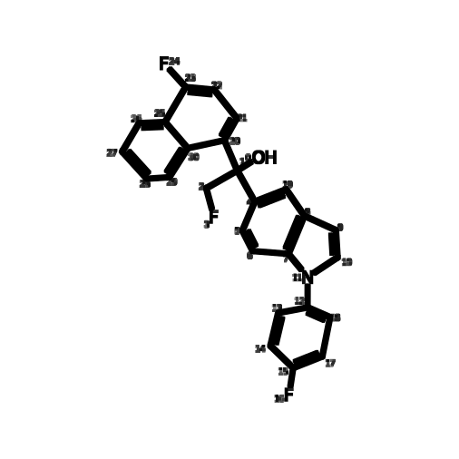 OC(CF)(c1ccc2c(ccn2-c2ccc(F)cc2)c1)c1ccc(F)c2ccccc12